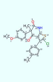 COc1ccc(C2(C)C(=O)Nc3sc(Cl)c(-c4ccc(C)cc4)c3C2=O)cc1